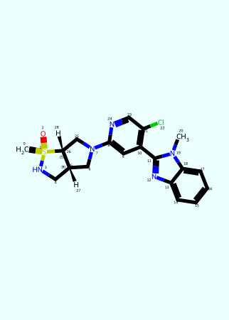 C=S1(=O)NC[C@H]2CN(c3cc(-c4nc5ccccc5n4C)c(Cl)cn3)C[C@H]21